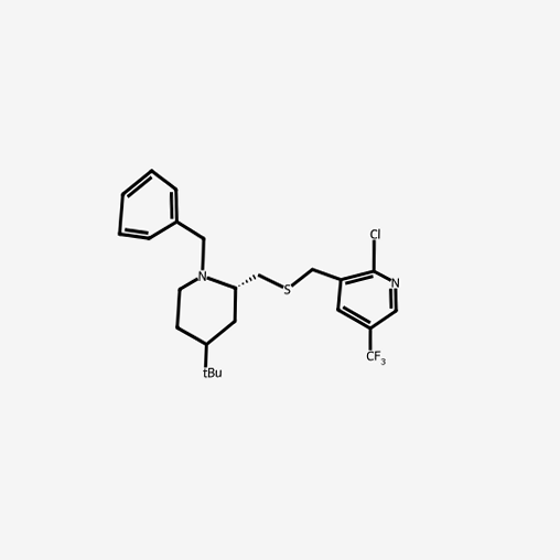 CC(C)(C)C1CCN(Cc2ccccc2)[C@H](CSCc2cc(C(F)(F)F)cnc2Cl)C1